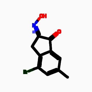 Cc1cc(Br)c2c(c1)C(=O)/C(=N\O)C2